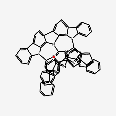 c1ccc(-c2nc(-c3ccccc3)nc(-n3c4ccccc4c4ccc5c6ccc7c8ccccc8n(-c8nc(-c9ccccc9)nc(-c9ccccc9)n8)c7c6n(-c6nc(-c7ccccc7)nc(-c7ccccc7)n6)c5c43)n2)cc1